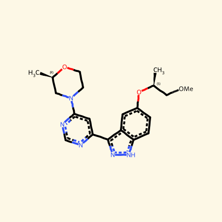 COC[C@H](C)Oc1ccc2[nH]nc(-c3cc(N4CCO[C@H](C)C4)ncn3)c2c1